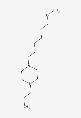 CCCN1CCN(CCCCCCOC)CC1